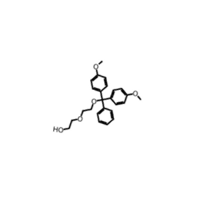 COc1ccc(C(OCCOCCO)(c2ccccc2)c2ccc(OC)cc2)cc1